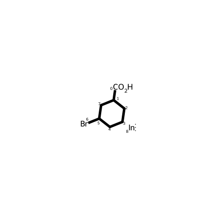 O=C(O)C1CCCC(Br)C1.[In]